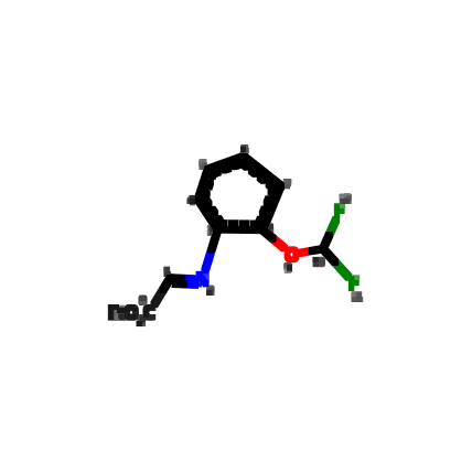 CCOC(=O)C=Nc1ccccc1OC(F)F